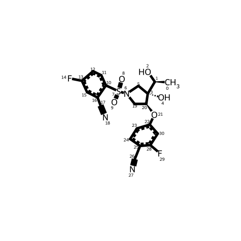 C[C@H](O)[C@]1(O)CN(S(=O)(=O)c2ccc(F)cc2C#N)C[C@@H]1Oc1ccc(C#N)c(F)c1